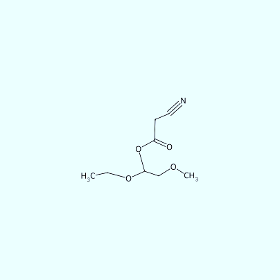 CCOC(COC)OC(=O)CC#N